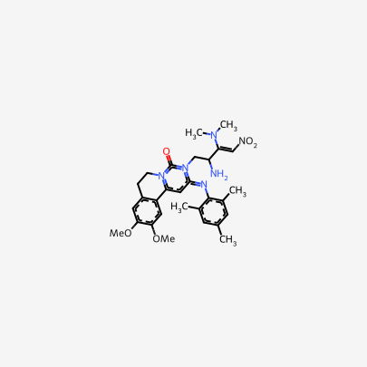 COc1cc2c(cc1OC)-c1cc(=Nc3c(C)cc(C)cc3C)n(CC(N)C(=C[N+](=O)[O-])N(C)C)c(=O)n1CC2